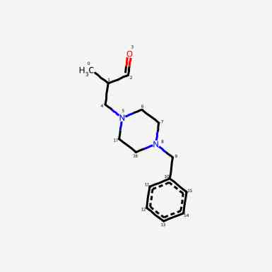 CC(C=O)CN1CCN(Cc2ccccc2)CC1